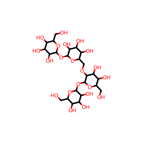 OCC1OC(OC2OC(COC3C(OC4OC(CO)C(O)C(O)C4O)OC(CO)C(O)C3O)C(O)C(O)C2O)C(O)C(O)C1O